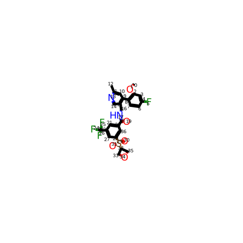 COc1cc(F)ccc1-c1cc(C)ncc1CNC(=O)c1cc(C(F)(F)F)cc(S(=O)(=O)C2COC2)c1